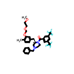 COCCOCOc1cc(C[C@@H]2CN(Cc3ccccc3)CCN2C(=O)c2cc(C(F)(F)F)cc(C(F)(F)F)c2)ccc1C